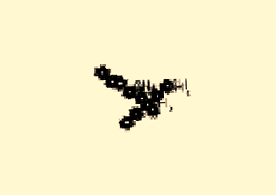 C#C/C=C\C(=C/C)C1C=CC(C2=C3CC4C(=CC3=C(c3ccc(-c5ccccc5)cc3)C3=CC=CCC32C)c2ccc([C@H]3C=c5ccc(C6=CCCC=C6)cc5=CC3)cc2[Si]4(C)C)=CC1